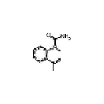 C=C(C)c1ccccc1N(C)C(N)=O